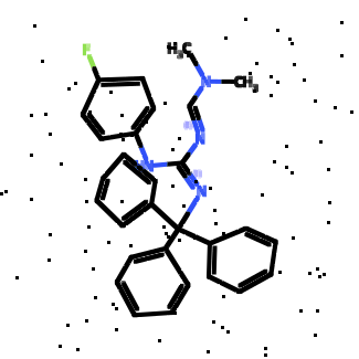 CN(C)/C=N/C(=N/C(c1ccccc1)(c1ccccc1)c1ccccc1)Nc1ccc(F)cc1